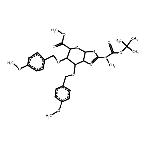 COC(=O)C1OC2SC(N(C)C(=O)OC(C)(C)C)=NC2C(OCc2ccc(OC)cc2)C1OCc1ccc(OC)cc1